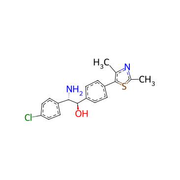 Cc1nc(C)c(-c2ccc([C@@H](O)[C@@H](N)c3ccc(Cl)cc3)cc2)s1